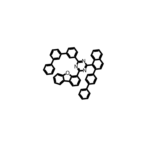 c1ccc(-c2ccc(-c3ccc4ccccc4c3-c3nc(-c4cccc(-c5cccc(-c6ccccc6)c5)c4)nc(-c4cccc5c4oc4ccccc45)n3)cc2)cc1